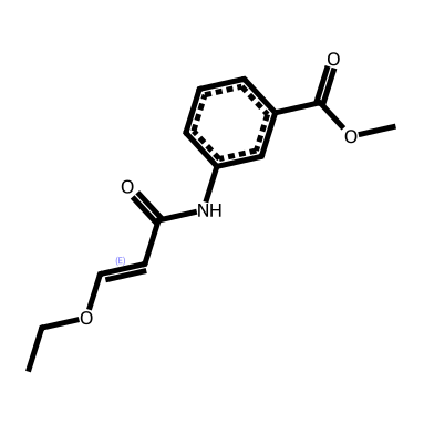 CCO/C=C/C(=O)Nc1cccc(C(=O)OC)c1